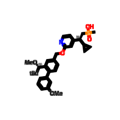 COc1cccc(-c2ccc(COc3cc([C@@H](CP(C)(=O)O)C4CC4)ccn3)cc2[C@@H](OC)C(C)(C)C)c1